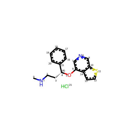 CNCC[C@@H](Oc1cncc2sccc12)c1ccccc1.Cl